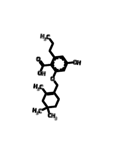 CCCc1cc(O)cc(OCC2=C(C)CC(C)(C)CC2)c1C(=O)O